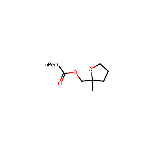 [CH2]CCCCC(=O)OCC1(C)CCCO1